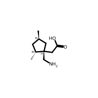 C[C@@H]1C[C@@H](C)[C@@](CN)(CC(=O)O)C1